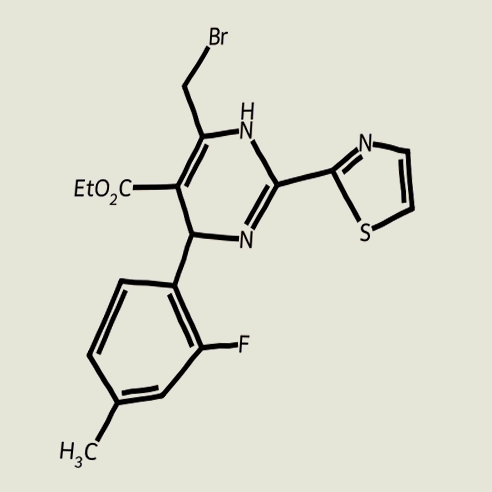 CCOC(=O)C1=C(CBr)NC(c2nccs2)=NC1c1ccc(C)cc1F